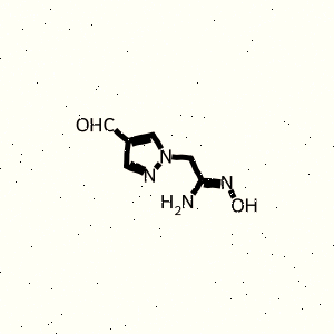 N/C(Cn1cc(C=O)cn1)=N\O